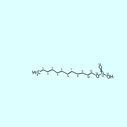 CCCCCCCCCCCC[O][Ti](=[O])[OH]